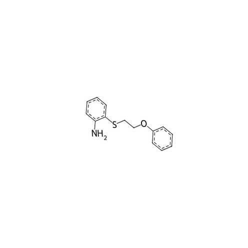 Nc1ccccc1SCCOc1ccccc1